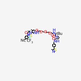 CC1=CC(OCCOCCOCCOCC(=O)NC(C(=O)N2CCCC2C(=O)NCc2ccc(-c3scnc3C)cc2)C(C)(C)C)NC=C1N1C(=S)N(c2ccc(C#N)c(C(F)(F)F)c2F)C(=O)C1(C)C